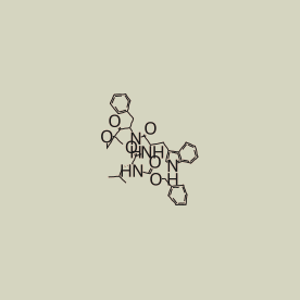 CC(C)C[C@@H](NC(=O)OCc1ccccc1)C(=O)NC(Cc1c[nH]c2ccccc12)C(=O)NC(Cc1ccccc1)C(=O)C1(C)CO1